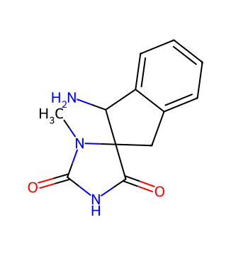 CN1C(=O)NC(=O)C12Cc1ccccc1C2N